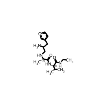 CCNC(=O)[C@@H](NC(=O)[C@H](C)NCC(N)Cc1ccoc1)C(C)C